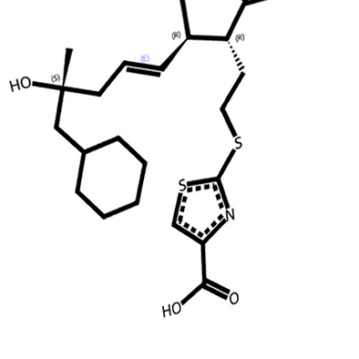 C[C@@](O)(C/C=C/[C@H]1CCC(=O)[C@@H]1CCSc1nc(C(=O)O)cs1)CC1CCCCC1